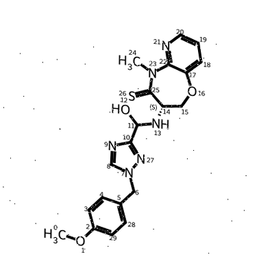 COc1ccc(Cn2cnc(C(O)N[C@H]3COc4cccnc4N(C)C3=S)n2)cc1